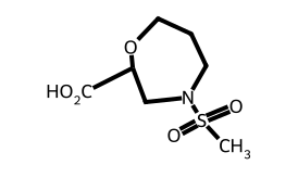 CS(=O)(=O)N1CCCOC(C(=O)O)C1